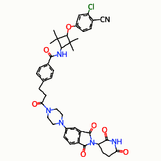 CC1(C)C(NC(=O)c2ccc(CCC(=O)N3CCN(c4ccc5c(c4)C(=O)N(C4CCC(=O)NC4=O)C5=O)CC3)cc2)C(C)(C)C1Oc1ccc(C#N)c(Cl)c1